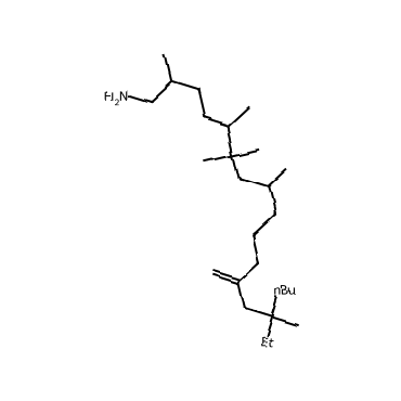 C=C(CCCC(C)CC(C)(C)C(C)CCC(C)CN)CC(C)(CC)CCCC